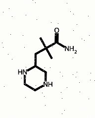 CC(C)(CC1CNCCN1)C(N)=O